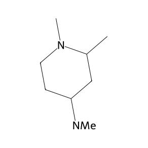 CNC1CCN(C)C(C)C1